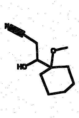 COC1(C(O)CC#N)CCCCC1